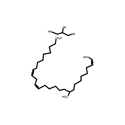 CCCCCCCC/C=C\CCCCCCC(CCCCC/C=C\C/C=C\CCCCCCCC(=O)O)C(=O)O.OCC(O)CO